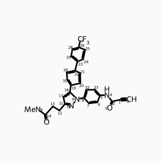 C#CC(=O)Nc1ccc(-n2nc(CCC(=O)NC)cc2-c2ccc(-c3ccc(C(F)(F)F)cc3)cc2)cc1